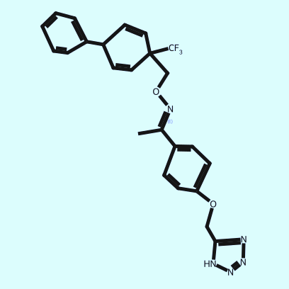 C/C(=N\OCC1(C(F)(F)F)C=CC(c2ccccc2)C=C1)c1ccc(OCc2nnn[nH]2)cc1